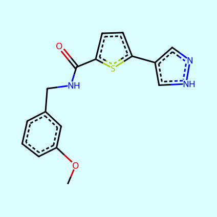 COc1cccc(CNC(=O)c2ccc(-c3cn[nH]c3)s2)c1